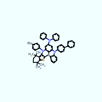 CC(C)(C)c1ccc(N2c3cc(N(c4ccccc4)c4ccccc4)cc4c3B(c3ccccc3N4c3ccc(-c4ccccc4)cc3)c3sc4c(c32)C(C)(C)CCC4(C)C)cc1